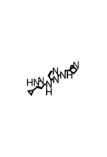 CN1CC2(CNc3nccc(Nc4cc(C5CC5)[nH]n4)n3)CC1C2